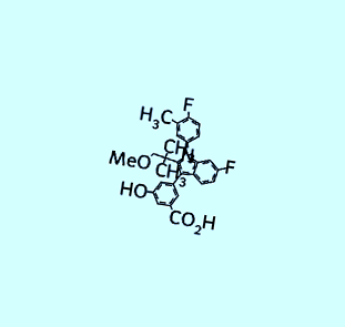 COCC(C)(C)c1c(-c2cc(O)cc(C(=O)O)c2)c2ccc(F)cc2n1-c1ccc(F)c(C)c1